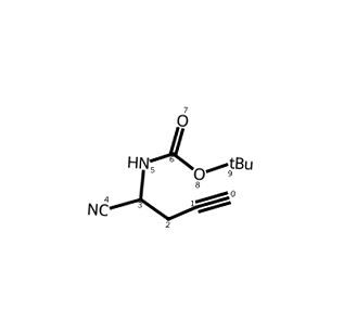 C#CCC(C#N)NC(=O)OC(C)(C)C